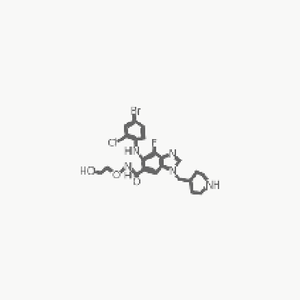 O=C(NOCCO)c1cc2c(ncn2CC2CCNCC2)c(F)c1Nc1ccc(Br)cc1Cl